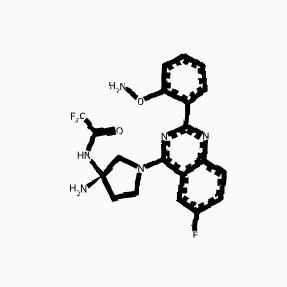 NOc1ccccc1-c1nc(N2CC[C@](N)(NC(=O)C(F)(F)F)C2)c2cc(F)ccc2n1